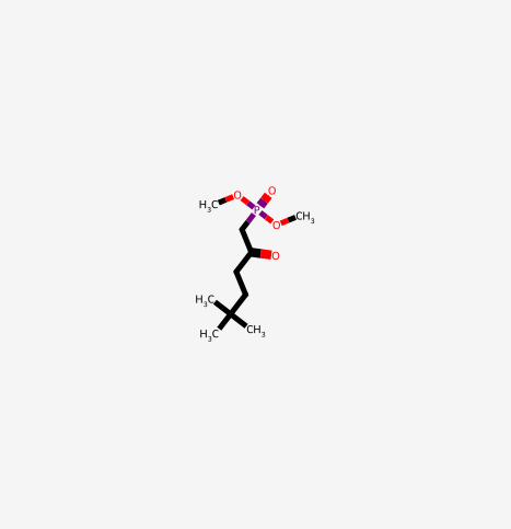 COP(=O)(CC(=O)CCC(C)(C)C)OC